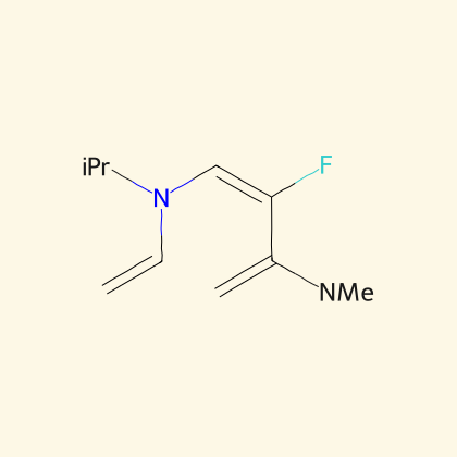 C=CN(/C=C(/F)C(=C)NC)C(C)C